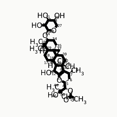 CC(=O)O[C@@H]([C@H]1C[C@@H](C)C2=C(O1)[C@H](O)[C@@]1(C)[C@@H]3CC[C@H]4C(C)(C)[C@@H](O[C@@H]5OC[C@@H](O)[C@H](O)C5O)CC[C@@]45C[C@@]35CC[C@]21C)C(C)(C)O